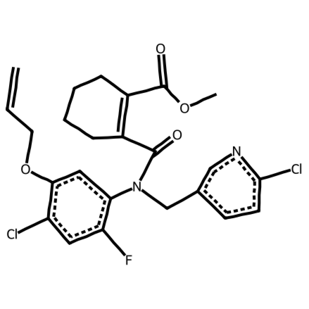 C=CCOc1cc(N(Cc2ccc(Cl)nc2)C(=O)C2=C(C(=O)OC)CCCC2)c(F)cc1Cl